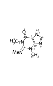 CNC1N(C)C(=O)c2[nH]cnc2N1C